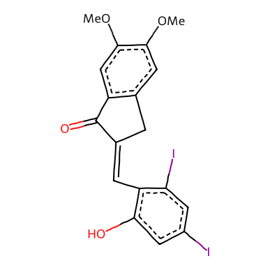 COc1cc2c(cc1OC)C(=O)C(=Cc1c(O)cc(I)cc1I)C2